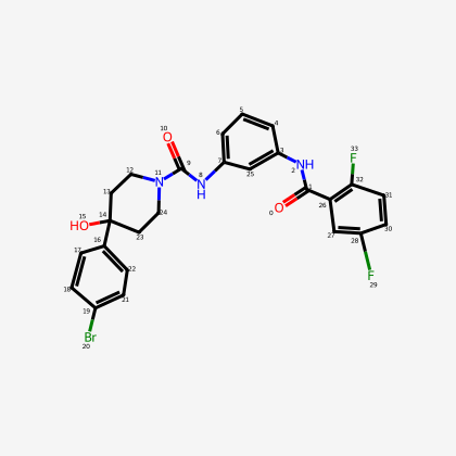 O=C(Nc1cccc(NC(=O)N2CCC(O)(c3ccc(Br)cc3)CC2)c1)c1cc(F)ccc1F